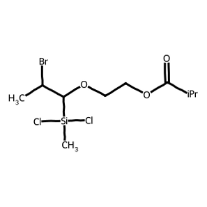 CC(C)C(=O)OCCOC(C(C)Br)[Si](C)(Cl)Cl